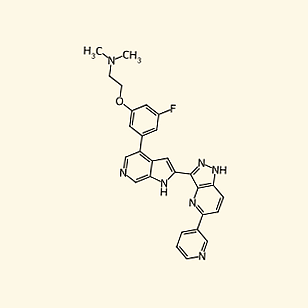 CN(C)CCOc1cc(F)cc(-c2cncc3[nH]c(-c4n[nH]c5ccc(-c6cccnc6)nc45)cc23)c1